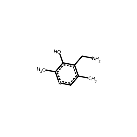 Cc1cnc(C)c(O)c1CN